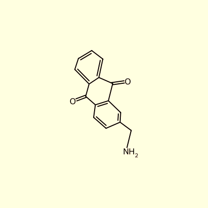 NCc1ccc2c(c1)C(=O)c1ccccc1C2=O